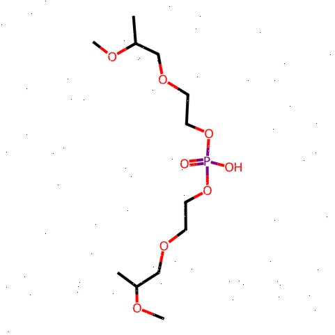 COC(C)COCCOP(=O)(O)OCCOCC(C)OC